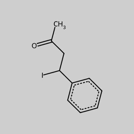 CC(=O)CC(I)c1ccccc1